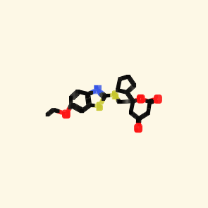 CCOc1ccc2nc(SCC3(C4CCCC4)CC(=O)CC(=O)O3)sc2c1